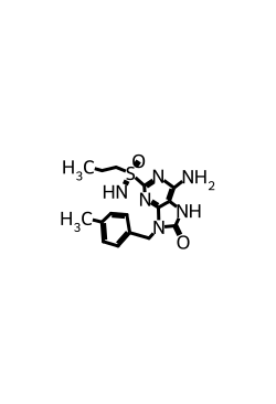 CCCS(=N)(=O)c1nc(N)c2[nH]c(=O)n(Cc3ccc(C)cc3)c2n1